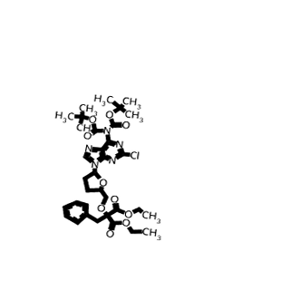 CCOC(=O)C(Cc1ccccc1)(OCC1CCC(n2cnc3c(N(C(=O)OC(C)(C)C)C(=O)OC(C)(C)C)nc(Cl)nc32)O1)C(=O)OCC